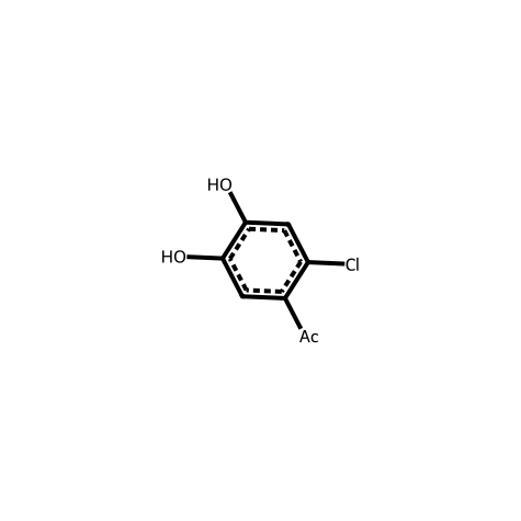 CC(=O)c1cc(O)c(O)cc1Cl